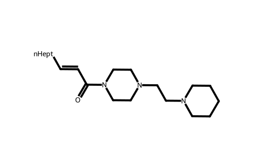 CCCCCCC/C=C/C(=O)N1CCN(CCN2CCCCC2)CC1